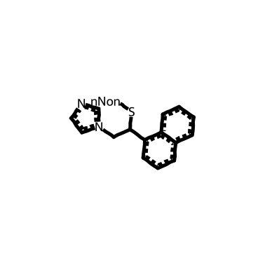 CCCCCCCCCSC(Cn1ccnc1)c1cccc2ccccc12